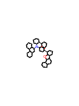 c1ccc(-c2ccccc2N(c2ccc(-c3cccc4c3oc3c5ccccc5ccc43)cc2)c2cc3ccccc3c3ccccc23)cc1